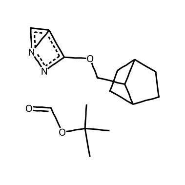 CC(C)(C)OC=O.c1c2c(OCC3C4CCC3CC4)nn1-2